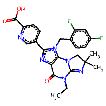 CCN1C(=O)c2nc(-c3ccc(C(=O)O)nc3)n(Cc3ccc(F)cc3F)c2N2CC(C)(C)N=C12